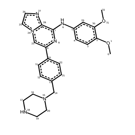 COc1ccc(Nc2nc(-c3ccc(CN4CCNCC4)cc3)cn3ccnc23)cc1OC